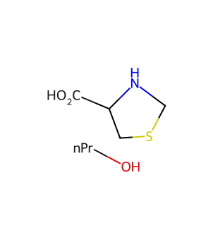 CCCO.O=C(O)C1CSCN1